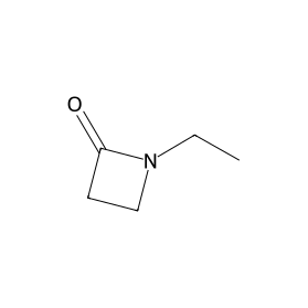 CCN1CCC1=O